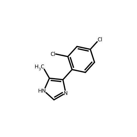 Cc1[nH]cnc1-c1ccc(Cl)cc1Cl